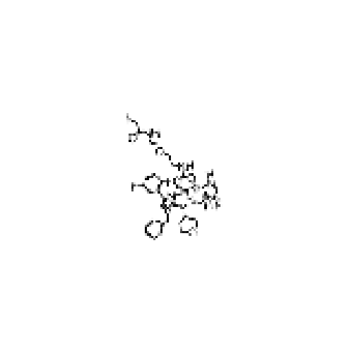 O=C(CI)NCCOCCNC(=O)O[C@@H]1C(=O)N([C@@H](c2nc(-c3cc(F)ccc3F)cn2Cc2ccccc2)C2CCOCC2)C[C@@H]2C1NC[C@@H]2F